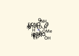 CCn1nc(C)cc1C(=O)Nc1nc2cc(CO)cc(OC)c2n1C/C=C/Cn1c(NC(=O)c2cc(C)nn2CC)nc2cc(C(N)=O)cc(OCCCN3CCOCC3)c21